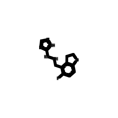 Fc1ccc2c(c1CNNc1ncn[nH]1)CCO2